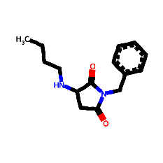 CCCCNC1CC(=O)N(Cc2ccccc2)C1=O